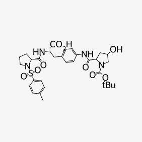 Cc1ccc(S(=O)(=O)N2CCC[C@H]2C(=O)N[C@@H](Cc2ccc(NC(=O)C3CC(O)CN3C(=O)OC(C)(C)C)cc2)C(=O)O)cc1